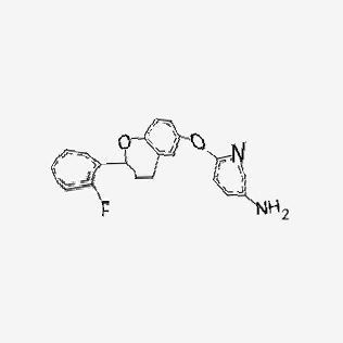 Nc1ccc(Oc2ccc3c(c2)CCC(c2ccccc2F)O3)nc1